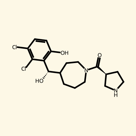 O=C([C@H]1CCNC1)N1CCCC([C@H](O)c2c(O)ccc(Cl)c2Cl)CC1